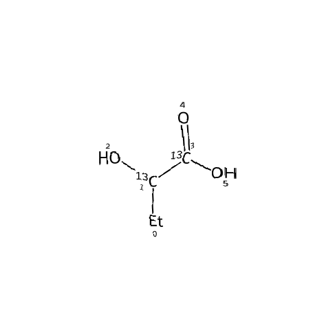 C[13CH2][13CH](O)[13C](=O)O